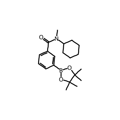 CN(C(=O)c1cccc(B2OC(C)(C)C(C)(C)O2)c1)C1CCCCC1